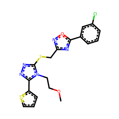 COCCn1c(SCc2noc(-c3cccc(Cl)c3)n2)nnc1-c1cccs1